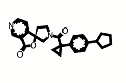 O=C1O[C@]2(CCN(C(=O)C3(c4ccc(C5CCCC5)cc4)CC3)C2)c2ccncc21